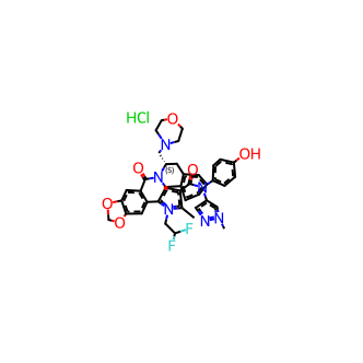 Cc1c(C(=O)N(c2ccc(O)cc2)c2cnn(C)c2)cc(-c2cc3c(cc2C(=O)N2Cc4ccccc4C[C@H]2CN2CCOCC2)OCO3)n1CC(F)F.Cl